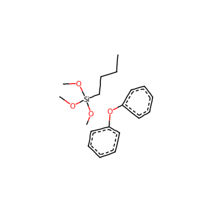 CCCC[Si](OC)(OC)OC.c1ccc(Oc2ccccc2)cc1